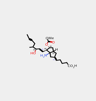 CC#CCC(C)[C@H](O)/C=C/[C@H]1[C@H](OC(=O)OC)C[C@@H]2C/C(=C\CCCC(=O)O)C[C@@]21N